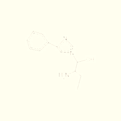 CCC(N)C(O)n1cnc(-c2ccccc2)c1